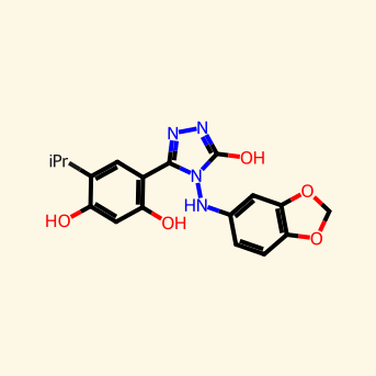 CC(C)c1cc(-c2nnc(O)n2Nc2ccc3c(c2)OCO3)c(O)cc1O